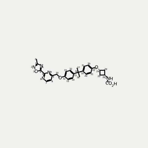 Cc1noc(-c2nccc(COc3ccc(C(C)(C)c4ccc(O[C@H]5C[C@H](NC(=O)O)C5)cc4)cc3)n2)n1